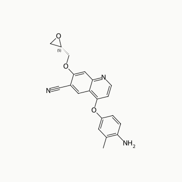 Cc1cc(Oc2ccnc3cc(OC[C@@H]4CO4)c(C#N)cc23)ccc1N